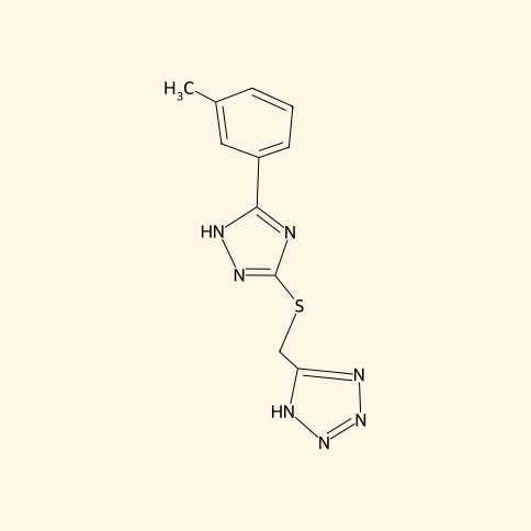 Cc1cccc(-c2nc(SCc3nnn[nH]3)n[nH]2)c1